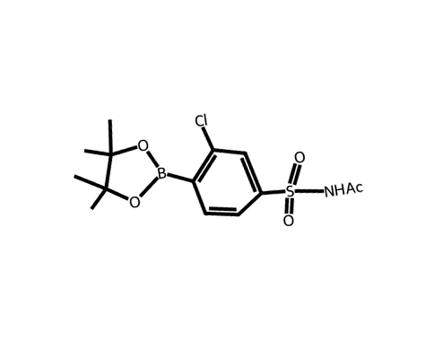 CC(=O)NS(=O)(=O)c1ccc(B2OC(C)(C)C(C)(C)O2)c(Cl)c1